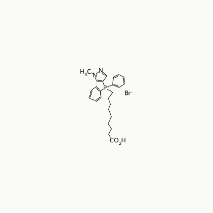 Cn1cc([P+](CCCCCCCCC(=O)O)(c2ccccc2)c2ccccc2)cn1.[Br-]